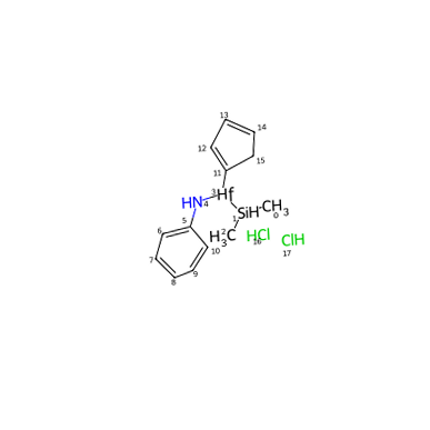 C[SiH](C)[Hf]([NH]c1ccccc1)[C]1=CC=CC1.Cl.Cl